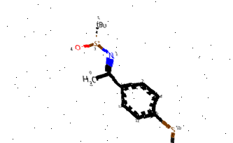 C/C(=N\[S@+]([O-])C(C)(C)C)c1ccc(SC(F)(F)F)cc1